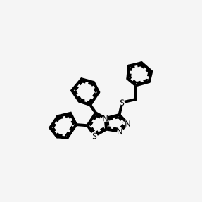 c1ccc(CSc2nnc3sc(-c4ccccc4)c(-c4ccccc4)n23)cc1